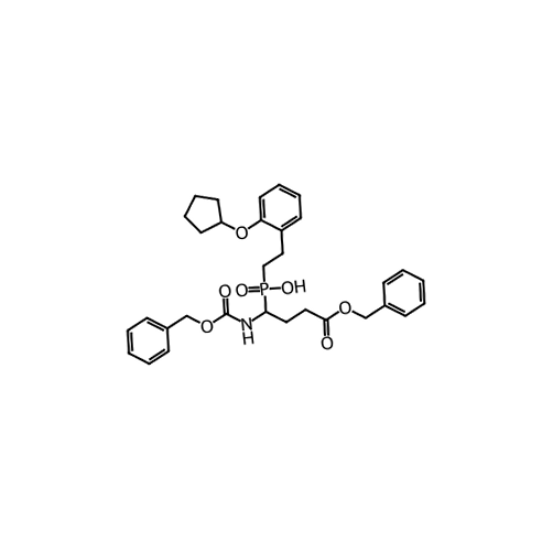 O=C(CCC(NC(=O)OCc1ccccc1)P(=O)(O)CCc1ccccc1OC1CCCC1)OCc1ccccc1